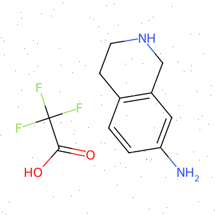 Nc1ccc2c(c1)CNCC2.O=C(O)C(F)(F)F